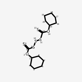 S=C(OC1CCCCC1)SSSC(=S)OC1CCCCC1